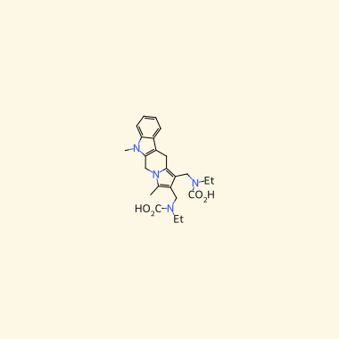 CCN(Cc1c(CN(CC)C(=O)O)c2n(c1C)Cc1c(c3ccccc3n1C)C2)C(=O)O